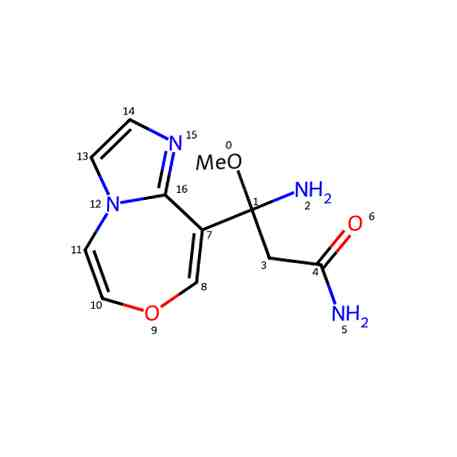 COC(N)(CC(N)=O)C1=COC=Cn2ccnc21